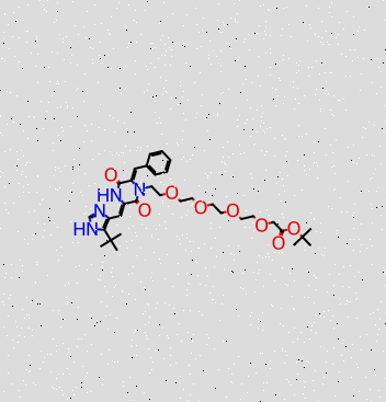 CC(C)(C)OC(=O)COCCOCCOCCOCCn1c(=O)/c(=C/c2nc[nH]c2C(C)(C)C)[nH]c(=O)/c1=C/c1ccccc1